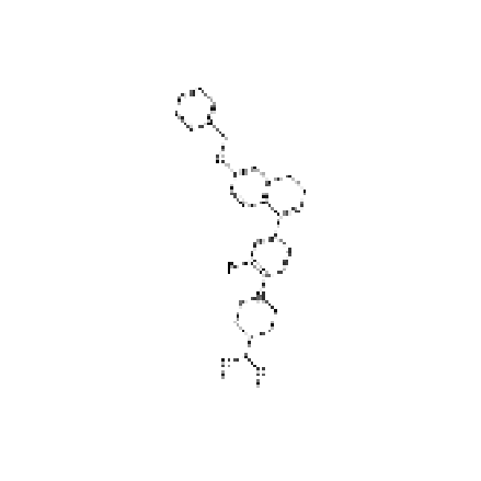 COC(OC)C1CCN(c2ccc(C3=CCCc4cc(OCc5ccccc5)ccc43)cc2F)CC1